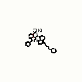 O=Cc1ccc(N(C=C(c2ccccc2)c2ccccc2)c2ccc(/C=C/C=C/c3ccccc3)c3ccccc23)cc1